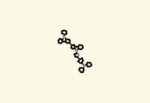 c1ccc(N(c2ccccc2)c2ccc(-c3ccc(-n4c5ccccc5c5cc(-c6ccc7c(c6)c6ccccc6n7-c6ccccc6)ccc54)s3)cc2)cc1